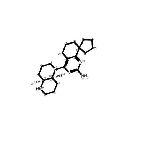 Nc1nc(N2CCC[C@@H]3NCCC[C@@H]32)c2c(n1)C1(CCCC1)CCC2